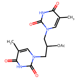 CC(=O)OC(Cn1cc(C)c(=O)[nH]c1=O)Cn1cc(C)c(=O)[nH]c1=O